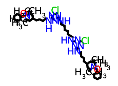 CC1(C)CC(CCCCNc2nc(Cl)nc(NCCCCCCNc3nc(Cl)nc(NCCCCC4CC(C)(C)N(OC5CCCCC5)C(C)(C)C4)n3)n2)CC(C)(C)N1OC1CCCCC1